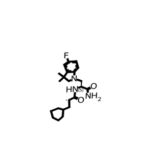 CC1(C)CN(C[C@H](NC(=O)[CH]CC2CCCCC2)C(N)=O)c2ccc(F)cc21